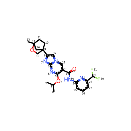 CC(C)Oc1nc2nc(C34CCC(C)(C3)OC4)cn2cc1C(=O)Nc1cccc(C(F)F)n1